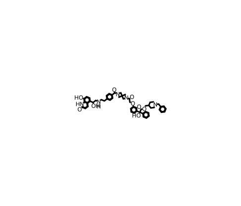 O=C(COc1cccc(C(O)(C(=O)OCC2CCN(Cc3ccccc3)CC2)c2ccccc2)c1)N1CC2(C1)CN(C(=O)c1ccc(CCNCC(O)c3ccc(O)c4[nH]c(=O)ccc34)cc1)C2